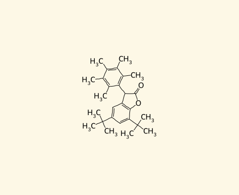 Cc1c(C)c(C)c(C2C(=O)Oc3c2cc(C(C)(C)C)cc3C(C)(C)C)c(C)c1C